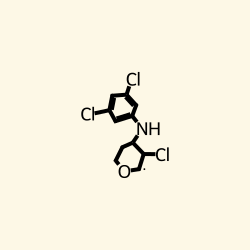 Clc1cc(Cl)cc(NC2CCO[CH]C2Cl)c1